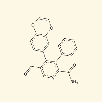 NC(=O)c1ncc(C=O)c(-c2ccc3c(c2)OC=CO3)c1-c1ccccc1